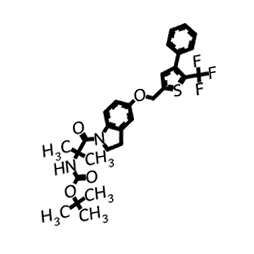 CC(C)(C)OC(=O)NC(C)(C)C(=O)N1CCc2cc(OCc3cc(-c4ccccc4)c(C(F)(F)F)s3)ccc21